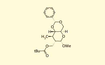 CO[C@H]1O[C@@H]2CO[C@@H](c3ccccc3)O[C@H]2[C@H](C)[C@H]1COC(=O)C(C)(C)C